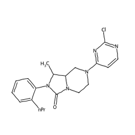 CCCc1ccccc1N1C(=O)N2CCN(c3ccnc(Cl)n3)CC2C1C